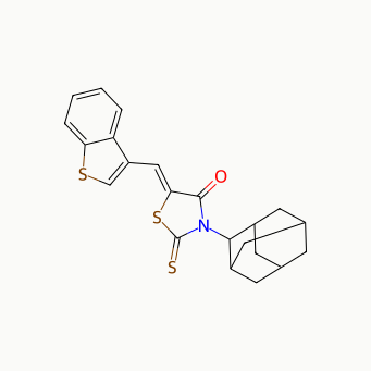 O=C1C(=Cc2csc3ccccc23)SC(=S)N1C1C2CC3CC(C2)CC1C3